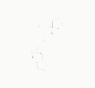 O=C(O)C1(C(=O)OCOC2CC3CC2C2CCCC32)CCCC1